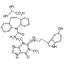 CCCC(CCC)C(=O)O.Cn1c(=O)c2[nH]cnc2n(C)c1=O.NC(=O)N1c2ccccc2C=Cc2ccccc21.NCCc1c[nH]c2ccc(O)cc12